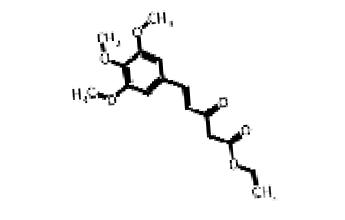 CCOC(=O)CC(=O)C=Cc1cc(OC)c(OC)c(OC)c1